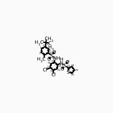 Cc1ccc(C(C)(C)C)cc1S(=O)(=O)Nc1cc(Cl)c(Cl)cc1NS(=O)(=O)c1cccs1